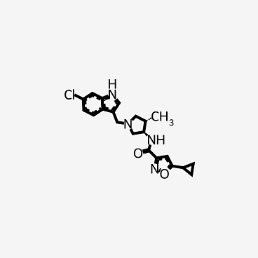 C[C@H]1CN(Cc2c[nH]c3cc(Cl)ccc23)C[C@@H]1NC(=O)c1cc(C2CC2)on1